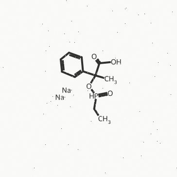 CC[PH](=O)OC(C)(C(=O)O)c1ccccc1.[Na].[Na]